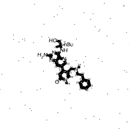 CCCC[C@](C)(CO)Nc1nc(N)nc2cc(-c3cc(=O)n(C)cc3CN(C)CCc3ccccc3)cnc12